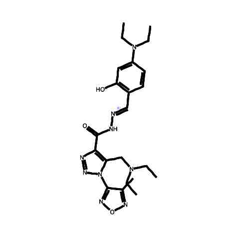 CCN(CC)Cc1c(C(=O)N/N=C/c2ccc(N(CC)CC)cc2O)nnn1-c1nonc1C